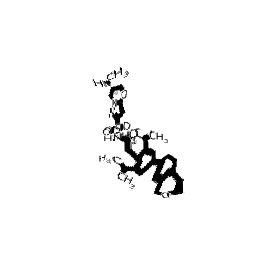 CN[C@@H]1COc2cc(S(=O)(=O)NC(=O)Cc3c(C(C)C)cc(-c4ccc5c(c4)COCC5)cc3C(C)C)nn2C1